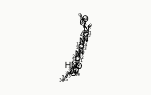 C=CC(=O)OCCN(CC)c1ccc(N=Nc2ccc(N=Nc3ccc(C(=O)NC(CCCCCCC)OC(C)=O)cc3)cc2)cc1